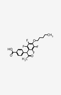 CCCCCOc1c(F)c(F)c(C(C(C)=O)c2ccc(C(=O)O)cc2)c(F)c1F